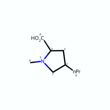 CCCC1CC(C(=O)O)N(C)C1